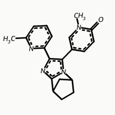 Cc1cccc(-c2nc3n(c2-c2ccc(=O)n(C)c2)C2CCC3C2)n1